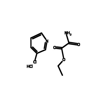 CCOC(=O)C(N)=O.Cl.Clc1cccnc1